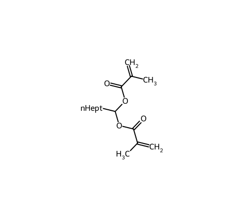 C=C(C)C(=O)OC(CCCCCCC)OC(=O)C(=C)C